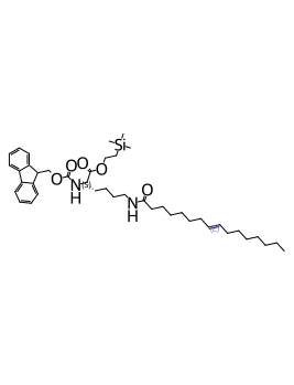 CCCCCCC/C=C/CCCCCCC(=O)NCCCC[C@H](NC(=O)OCC1c2ccccc2-c2ccccc21)C(=O)OCC[Si](C)(C)C